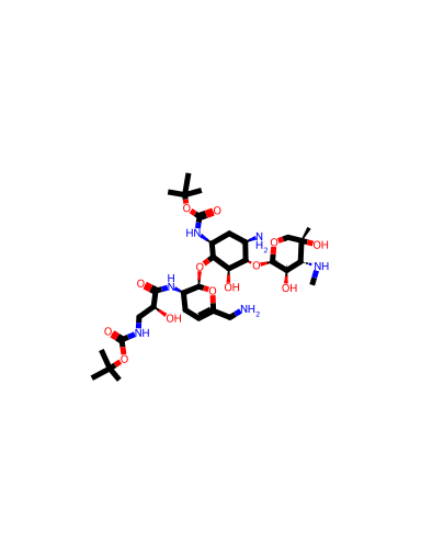 CN[C@@H]1[C@@H](O)[C@@H](O[C@H]2[C@H](N)C[C@H](NC(=O)OC(C)(C)C)C(O[C@H]3OC(CN)=CC[C@H]3NC(=O)[C@@H](O)CNC(=O)OC(C)(C)C)[C@@H]2O)OC[C@]1(C)O